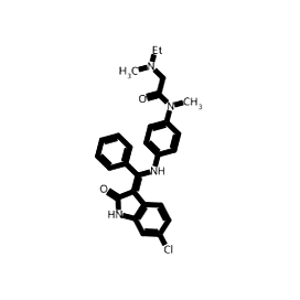 CCN(C)CC(=O)N(C)c1ccc(NC(=C2C(=O)Nc3cc(Cl)ccc32)c2ccccc2)cc1